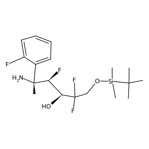 CC(C)(C)[Si](C)(C)OCC(F)(F)[C@@H](O)[C@H](F)[C@](C)(N)c1ccccc1F